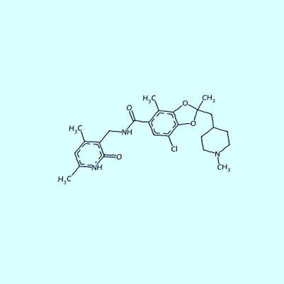 Cc1cc(C)c(CNC(=O)c2cc(Cl)c3c(c2C)OC(C)(CC2CCN(C)CC2)O3)c(=O)[nH]1